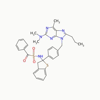 CCCc1nc2c(C)nc(N(C)C)nc2n1Cc1ccc(C2(NS(=O)(=O)C(=O)c3ccccc3)Cc3ccccc3S2)cc1